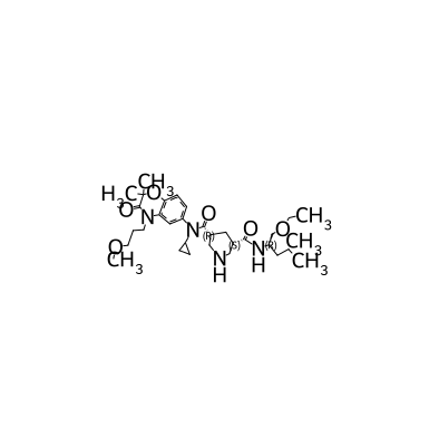 CCOC[C@@H](CC(C)C)NC(=O)[C@@H]1CNC[C@H](C(=O)N(c2ccc3c(c2)N(CCCOC)C(=O)C(C)(C)O3)C2CC2)C1